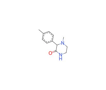 Cc1ccc(C2C(=O)NCCN2C)cc1